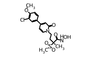 COc1ccc(-c2ccn(CC[C@](C)(C(=O)NO)S(C)(=O)=O)c(=O)c2)cc1Cl